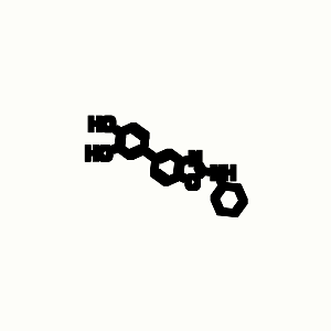 Oc1ccc(-c2ccc3oc(NC4CCCCC4)nc3c2)cc1O